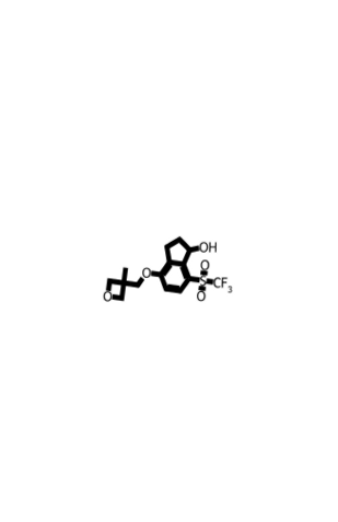 CC1(COc2ccc(S(=O)(=O)C(F)(F)F)c3c2CCC3O)COC1